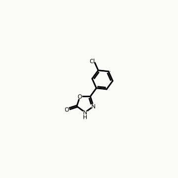 O=c1[nH]nc(-c2cc[c]c(Cl)c2)o1